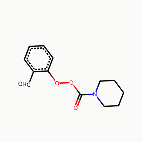 O=Cc1ccccc1OOC(=O)N1CCCCC1